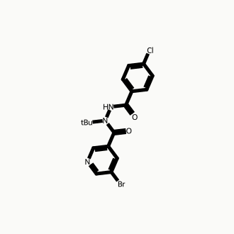 CC(C)(C)N(NC(=O)c1ccc(Cl)cc1)C(=O)c1cncc(Br)c1